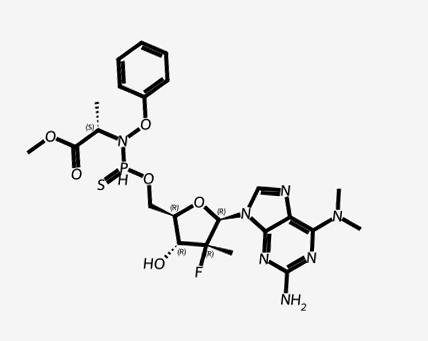 COC(=O)[C@H](C)N(Oc1ccccc1)[PH](=S)OC[C@H]1O[C@@H](n2cnc3c(N(C)C)nc(N)nc32)[C@](C)(F)[C@@H]1O